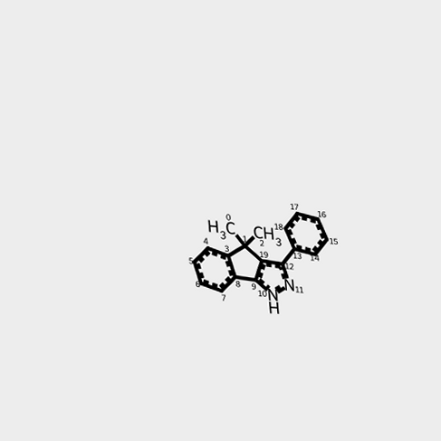 CC1(C)c2ccccc2-c2[nH]nc(-c3ccccc3)c21